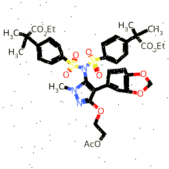 CCOC(=O)C(C)(C)c1ccc(S(=O)(=O)N(c2c(-c3ccc4c(c3)OCO4)c(OCCOC(C)=O)nn2C)S(=O)(=O)c2ccc(C(C)(C)C(=O)OCC)cc2)cc1